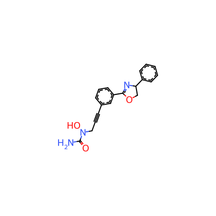 NC(=O)N(O)CC#Cc1cccc(C2=NC(c3ccccc3)CO2)c1